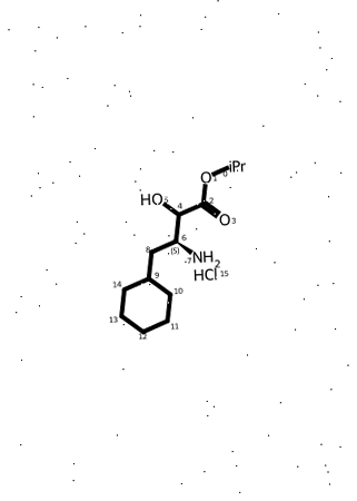 CC(C)OC(=O)C(O)[C@@H](N)CC1CCCCC1.Cl